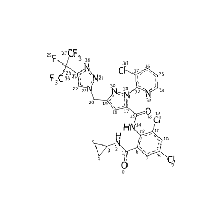 O=C(NC1CC1)c1cc(Cl)cc(Cl)c1NC(=O)c1cc(Cn2cc(C(F)(C(F)(F)F)C(F)(F)F)nn2)nn1-c1ncccc1Cl